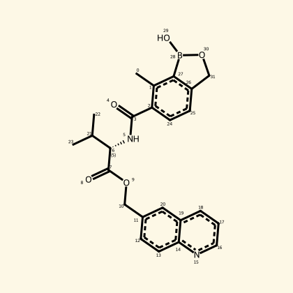 Cc1c(C(=O)N[C@H](C(=O)OCc2ccc3ncccc3c2)C(C)C)ccc2c1B(O)OC2